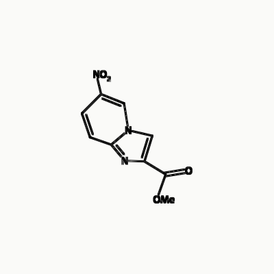 COC(=O)c1cn2cc([N+](=O)[O-])ccc2n1